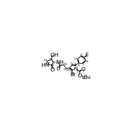 CC(C)(C)OC(=O)n1c(-c2ccc(F)cc2)cc(CCC(=O)N[C@@H]2C(=O)NC[C@H]2O)c1Br